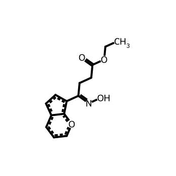 CCOC(=O)CCC(=NO)c1ccc2cccoc1-2